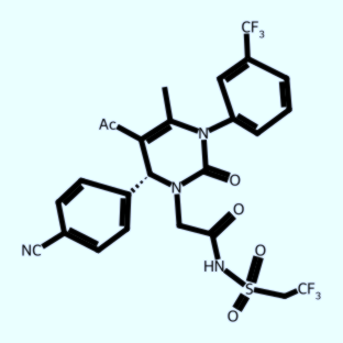 CC(=O)C1=C(C)N(c2cccc(C(F)(F)F)c2)C(=O)N(CC(=O)NS(=O)(=O)CC(F)(F)F)[C@@H]1c1ccc(C#N)cc1